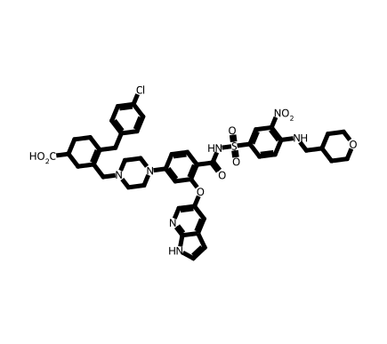 O=C(NS(=O)(=O)c1ccc(NCC2CCOCC2)c([N+](=O)[O-])c1)c1ccc(N2CCN(CC3=C(Cc4ccc(Cl)cc4)CCC(C(=O)O)C3)CC2)cc1Oc1cnc2[nH]ccc2c1